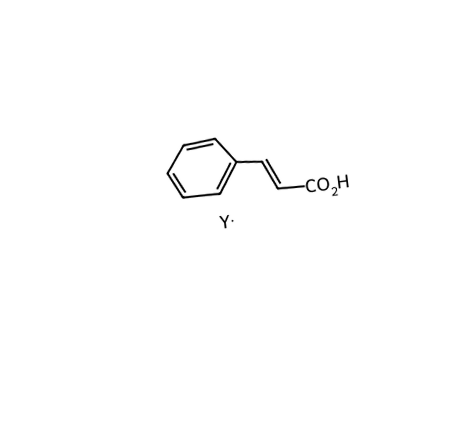 O=C(O)/C=C/c1ccccc1.[Y]